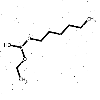 CCCCCCOP(O)OCC